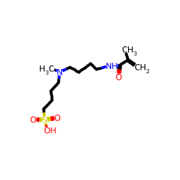 C=C(C)C(=O)NCCCCN(C)CCCCS(=O)(=O)O